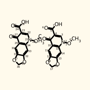 COn1cc(C(=O)O)c(=O)c2cc3c(cc21)OCO3.COn1cc(C(=O)O)c(=O)c2cc3c(cc21)OCO3